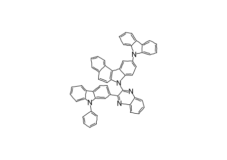 c1ccc(-n2c3ccccc3c3ccc(-c4nc5ccccc5nc4-n4c5ccc(-n6c7ccccc7c7ccccc76)cc5c5c6ccccc6ccc54)cc32)cc1